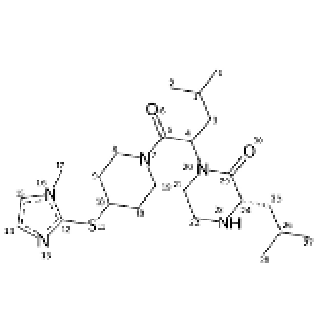 CC(C)CC(C(=O)N1CCC(Sc2nccn2C)CC1)N1CCN[C@@H](CC(C)C)C1=O